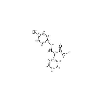 COC(=O)C(N=Cc1ccc(Cl)cc1)c1ccccc1